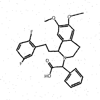 COc1cc2c(cc1OC)C(CCc1cc(F)ccc1F)N(C(C(=O)O)c1ccccc1)CC2